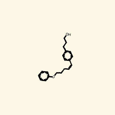 OCCCc1ccc(/C=C\CCCOc2ccccc2)cc1